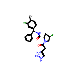 CC(C)c1ccc([C@@H](NC(=O)[C@@H]2C[C@@H](F)CN2C(=O)CC2=CNNN2)c2ccccc2)cc1F